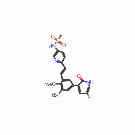 COc1c(C=Cc2ccc(NS(C)(=O)=O)cn2)cc(-c2cc(F)c[nH]c2=O)cc1C(C)(C)C